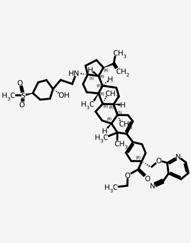 C=C(C)[C@@H]1CC[C@]2(NCC[C@]3(O)CC[C@H](S(C)(=O)=O)CC3)CC[C@]3(C)[C@H](CC[C@@H]4[C@@]5(C)CC=C(C6=CC[C@](COc7ncccc7C#N)(C(=O)OCC)CC6)C(C)(C)[C@@H]5CC[C@]43C)[C@@H]12